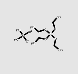 OCO[N+](OCO)(OCO)OCO.[O-][Si](O)(O)O